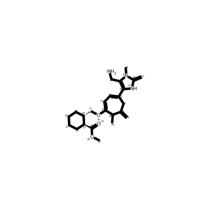 C=C1CC(C2=C(CN)N(C)C(=C)N2)=CC=C(OC[C@H]2CCCC[C@@H]2C(=O)OC)C1C